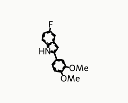 COc1ccc(-c2cc3cc(F)ccc3[nH]2)cc1OC